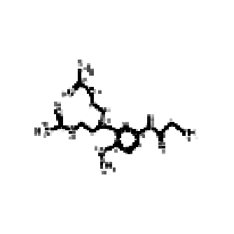 CCC(=O)Nc1ccc(OC)c(N(CCOC(C)=O)CCOC(C)=O)c1